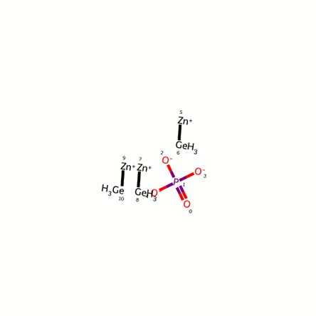 O=P([O-])([O-])[O-].[Zn+][GeH3].[Zn+][GeH3].[Zn+][GeH3]